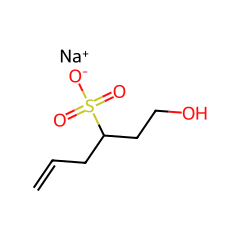 C=CCC(CCO)S(=O)(=O)[O-].[Na+]